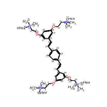 CCCCCC[N+](C)(C)CCOc1cc(/C=C/c2ccc(/C=C/c3cc(OCC[N+](C)(C)CCCCCC)cc(OCC[N+](C)(C)CCCCCC)c3)cc2)cc(OCC[N+](C)(C)CCCCCC)c1